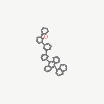 c1cc(-c2cccc(-c3cccc4c3oc3ccccc34)c2)cc(-c2c3ccccc3c(-c3cccc4ccccc34)c3ccccc23)c1